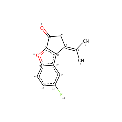 N#CC(C#N)=C1CC(=O)c2oc3ccc(F)cc3c21